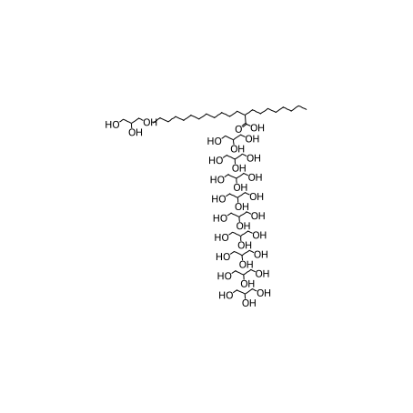 CCCCCCCCCCCCC(CCCCCCCC)C(=O)O.OCC(O)CO.OCC(O)CO.OCC(O)CO.OCC(O)CO.OCC(O)CO.OCC(O)CO.OCC(O)CO.OCC(O)CO.OCC(O)CO.OCC(O)CO